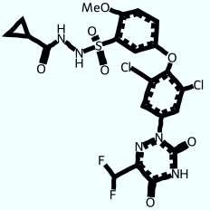 COc1ccc(Oc2c(Cl)cc(-n3nc(C(F)F)c(=O)[nH]c3=O)cc2Cl)cc1S(=O)(=O)NNC(=O)C1CC1